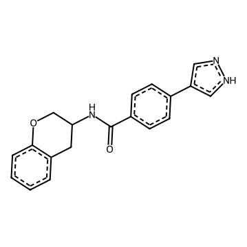 O=C(NC1COc2ccccc2C1)c1ccc(-c2cn[nH]c2)cc1